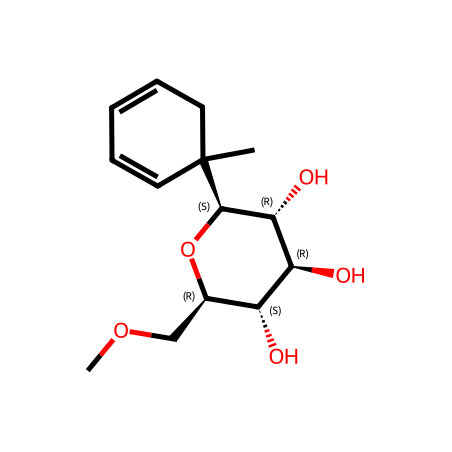 COC[C@H]1O[C@@H](C2(C)C=CC=CC2)[C@H](O)[C@@H](O)[C@@H]1O